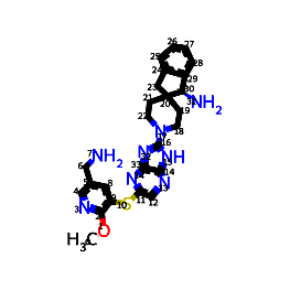 COc1ncc(CN)cc1Sc1cnc2[nH]c(N3CCC4(CC3)Cc3ccccc3[C@H]4N)nc2n1